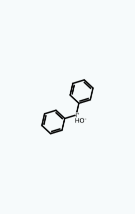 [OH-].c1ccc([I+]c2ccccc2)cc1